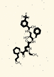 CCCC1CCCCN1C(=O)c1cc(C(=O)N[C@@H](Cc2ccccc2)[C@@H](O)CN[C@H](C)c2cccc(C(F)(F)F)c2)nn1CC